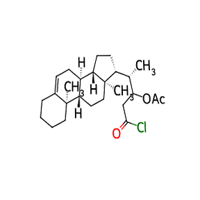 CC(=O)OC(CC(=O)Cl)[C@@H](C)[C@H]1CC[C@H]2[C@@H]3CC=C4CCCC[C@]4(C)[C@H]3CC[C@]12C